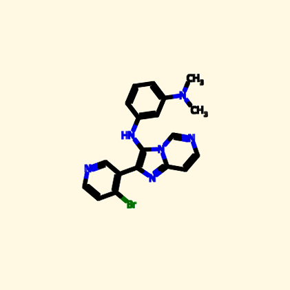 CN(C)c1cccc(Nc2c(-c3cnccc3Br)nc3ccncn23)c1